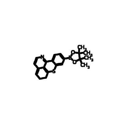 CC1(C)OB(c2ccc3c(c2)SC2=c4c-3nccc4=CCC2)OC1(C)C